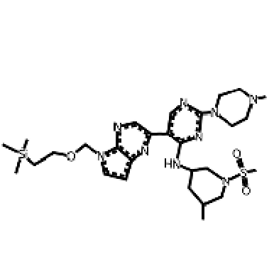 CC1CC(Nc2nc(N3CCN(C)CC3)ncc2-c2cnc3c(ccn3COCC[Si](C)(C)C)n2)CN(S(C)(=O)=O)C1